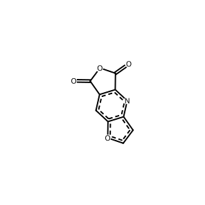 O=C1OC(=O)c2nc3ccoc3cc21